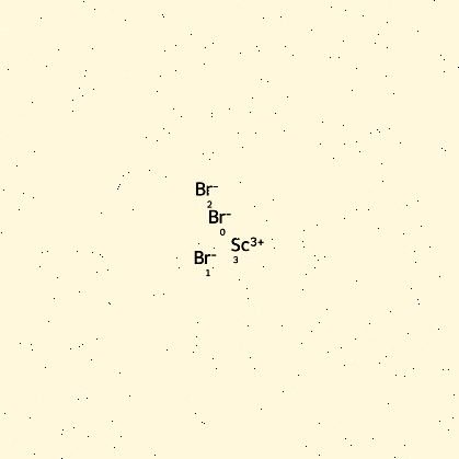 [Br-].[Br-].[Br-].[Sc+3]